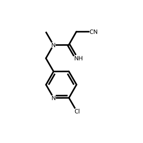 CN(Cc1ccc(Cl)nc1)C(=N)CC#N